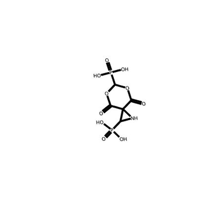 O=C1OC(P(=O)(O)O)OC(=O)C12NC2P(=O)(O)O